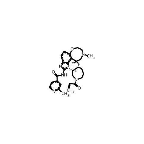 C=CC(=O)N1CCCC[C@@H](n2c(NC(=O)c3ccnc(C)c3)nc3ccc4c(c32)C(F)(F)CN(C)CCO4)C1